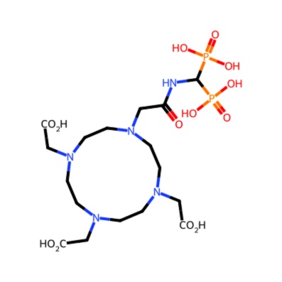 O=C(O)CN1CCN(CC(=O)O)CCN(CC(=O)NC(P(=O)(O)O)P(=O)(O)O)CCN(CC(=O)O)CC1